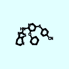 N#Cc1ccc(Sc2cnc(Nc3nc4cccnc4s3)c(Oc3ccccc3)c2)cc1